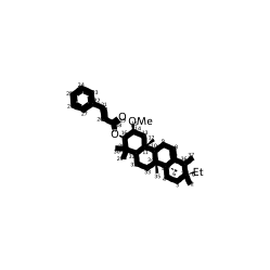 CC[C@]1(C)CC[C@]2(C)C(=CCC3[C@@]4(C)C[C@H](OC)[C@@H](OC(=O)/C=C/c5ccccc5)C(C)(C)C4CC[C@]32C)C1C